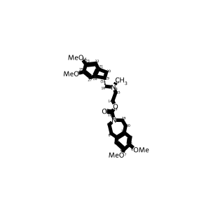 COc1cc2c(cc1OC)CCN(C(=O)OCCN(C)C[C@H]1Cc3cc(OC)c(OC)cc31)CC2